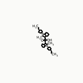 C/C=C/c1ccc(-n2c(C)c(C3=C(O)/C(=C4/C(C)=[N+](c5ccc(/C=C/C)cc5)c5ccccc54)C3=O)c3ccccc32)cc1